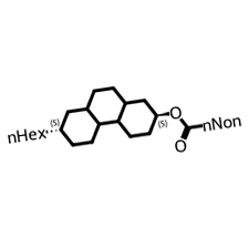 CCCCCCCCCC(=O)O[C@H]1CCC2C(CCC3C[C@@H](CCCCCC)CCC32)C1